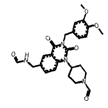 COc1ccc(Cn2c(=O)c3cc(CNC=O)ccc3n(C3CCN(C=O)CC3)c2=O)cc1OC